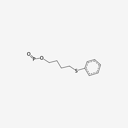 O=POCCCCSc1ccccc1